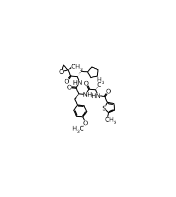 COc1ccc(C[C@H](NC(=O)[C@H](C)NC(=O)c2ccc(C)s2)C(=O)N[C@@H](CC2CCCC2)C(=O)[C@@]2(C)CO2)cc1